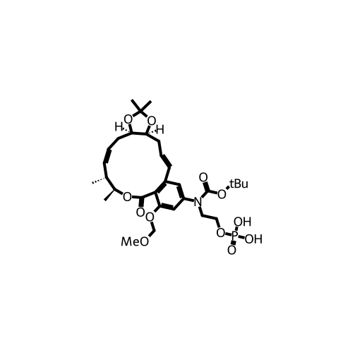 COCOc1cc(N(CCOP(=O)(O)O)C(=O)OC(C)(C)C)cc2c1C(=O)O[C@@H](C)[C@H](C)/C=C\C[C@H]1OC(C)(C)O[C@H]1C/C=C/2